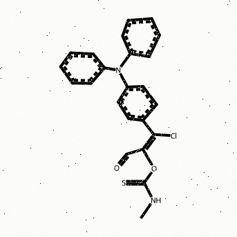 CNC(=S)O/C(C=O)=C(\Cl)c1ccc(N(c2ccccc2)c2ccccc2)cc1